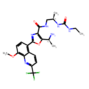 CCNC(=O)N[C@H](C)CNC(=O)c1nc(-c2ccc(OC)c3nc(C(F)(F)F)ccc23)oc1[C@H](C)N